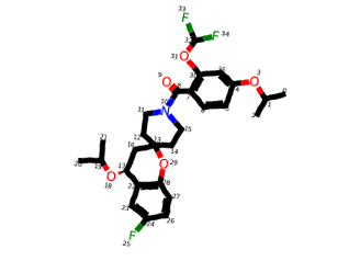 CC(C)Oc1ccc(C(=O)N2CCC3(CC2)C[C@@H](OC(C)C)c2cc(F)ccc2O3)c(OC(F)F)c1